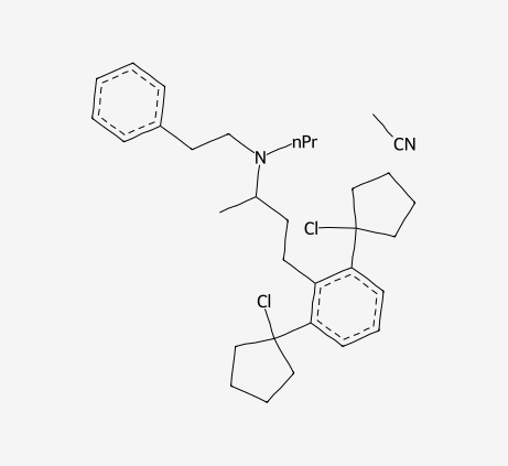 CC#N.CCCN(CCc1ccccc1)C(C)CCc1c(C2(Cl)CCCC2)cccc1C1(Cl)CCCC1